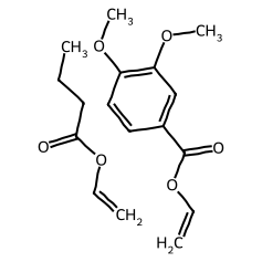 C=COC(=O)CCC.C=COC(=O)c1ccc(OC)c(OC)c1